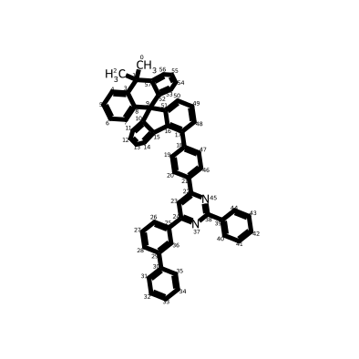 CC1(C)c2ccccc2C2(c3ccccc3-c3c(-c4ccc(-c5cc(-c6cccc(-c7ccccc7)c6)nc(-c6ccccc6)n5)cc4)cccc32)c2ccccc21